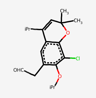 CC(C)Oc1c(CC=O)cc2c(c1Cl)OC(C)(C)C=C2C(C)C